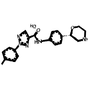 Cc1ccc(-n2ncc(C(=O)Nc3ccc([C@H]4CNCCO4)cc3)n2)cc1.Cl